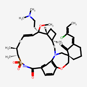 C=C1/C(=C\C(Cl)=C/C)CCC[C@]12COc1ccc3cc1N(C[C@@H]1CC[C@H]1[C@](CCN(C)C)(OC)/C=C/C[C@H](C)[C@@H](C)S(=O)(=O)NC3=O)C2